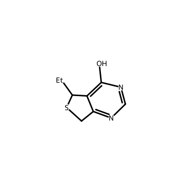 CCC1SCc2ncnc(O)c21